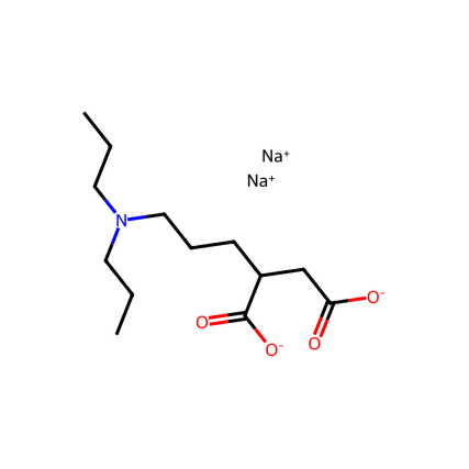 CCCN(CCC)CCCC(CC(=O)[O-])C(=O)[O-].[Na+].[Na+]